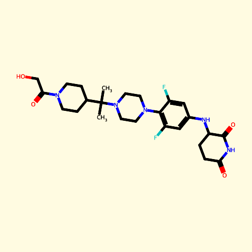 CC(C)(C1CCN(C(=O)CO)CC1)N1CCN(c2c(F)cc(NC3CCC(=O)NC3=O)cc2F)CC1